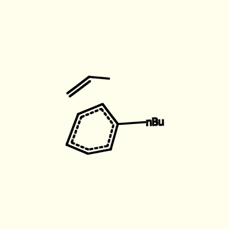 C=CC.CCCCc1ccccc1